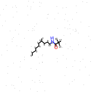 CCCCCCC(C)CCCNC(=O)C(C)(C)C